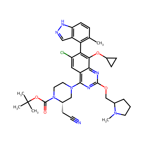 Cc1ccc2[nH]ncc2c1-c1c(Cl)cc2c(N3CCN(C(=O)OC(C)(C)C)[C@@H](CC#N)C3)nc(OCC3CCCN3C)nc2c1OC1CC1